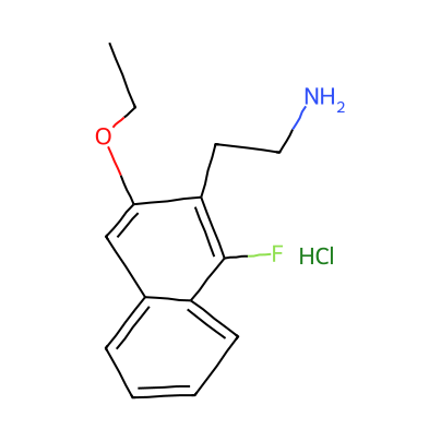 CCOc1cc2ccccc2c(F)c1CCN.Cl